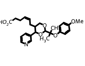 COc1ccc(OC(C)(C)C2OCC(C/C=C\CCC(=O)O)C(c3cccnc3)O2)cc1